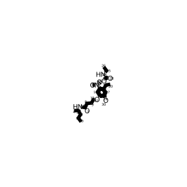 CCCC(C)NC(=O)CCCOc1cc([N+](=O)[O-])c(C(C)OC(=O)NCC)cc1OC